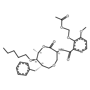 CCCCCO[C@@H]1[C@@H](Cc2ccccc2)COC[C@H](NC(=O)c2nccc(OC)c2OCOC(C)=O)C(=O)O[C@H]1C